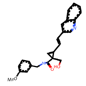 COc1cccc(CNC(=O)C2(CO)CC2/C=C/c2cnc3ccccc3c2)c1